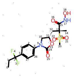 CCC(F)(F)c1ccc(N2C[C@H](C[C@](C)(C(=O)NO)S(C)(=O)=O)OC2=O)cc1